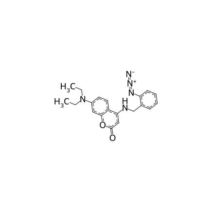 CCN(CC)c1ccc2c(NCc3ccccc3N=[N+]=[N-])cc(=O)oc2c1